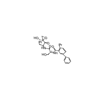 CC(C)C[C@H](NC(=O)[C@H](CO)NC(=O)c1cc(-c2ccccc2)ccc1C(C)C)C(=O)[C@@]1(CO)CO1